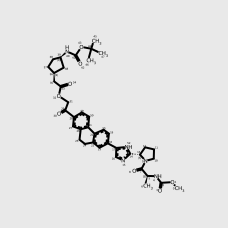 COC(=O)N[C@@H](C)C(=O)N1CCC[C@H]1c1ncc(-c2ccc3c(c2)CCc2cc(C(=O)COC(=O)C[C@H]4CC[C@@H](NC(=O)OC(C)(C)C)C4)ccc2-3)[nH]1